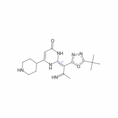 CC(=N)/C(=C1/NC(=O)C=C(C2CCNCC2)N1)c1nnc(C(C)(C)C)o1